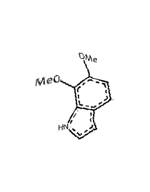 COc1c[c]c2cc[nH]c2c1OC